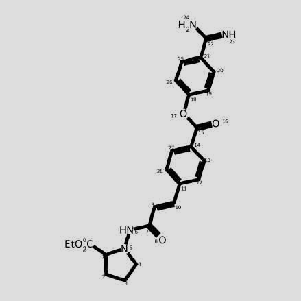 CCOC(=O)C1CCCN1NC(=O)C=Cc1ccc(C(=O)Oc2ccc(C(=N)N)cc2)cc1